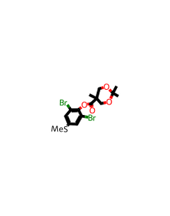 CSc1cc(Br)c(OC(=O)C2(C)COC(C)(C)OC2)c(Br)c1